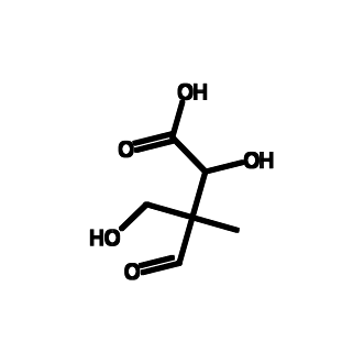 CC(C=O)(CO)C(O)C(=O)O